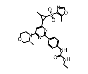 CCNC(=O)Nc1ccc(-c2nc(C3C(C)C3S(=O)(=O)c3ncoc3C)cc(N3CCOC[C@@H]3C)n2)cc1